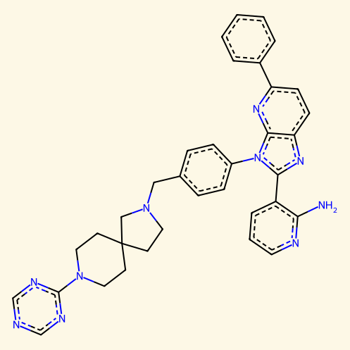 Nc1ncccc1-c1nc2ccc(-c3ccccc3)nc2n1-c1ccc(CN2CCC3(CCN(c4ncncn4)CC3)C2)cc1